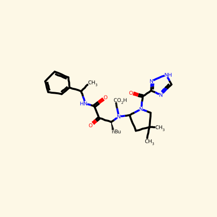 CCCC[C@@H](C(=O)C(=O)NC(C)c1ccccc1)N(C(=O)O)C1CC(C)(C)CN1C(=O)c1nc[nH]n1